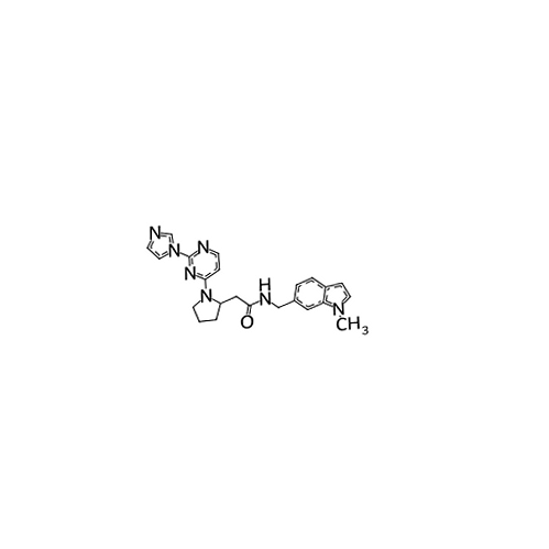 Cn1ccc2ccc(CNC(=O)CC3CCCN3c3ccnc(-n4ccnc4)n3)cc21